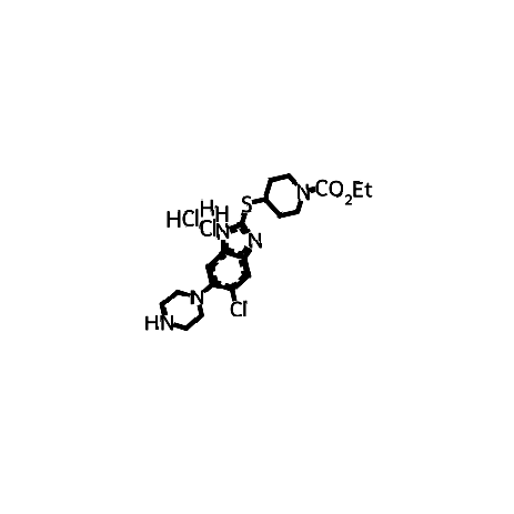 CCOC(=O)N1CCC(Sc2nc3cc(Cl)c(N4CCNCC4)cc3[nH]2)CC1.Cl.Cl